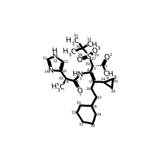 CC(=O)[C@H](C(NC(=O)[C@@H](C)c1c[nH]cn1)=C(CCC1CCCCC1)C1CC1)S(=O)(=O)C(C)(C)C